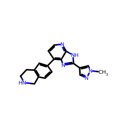 Cn1cc(-c2nc3c(-c4ccc5c(c4)CCNC5)ccnc3[nH]2)cn1